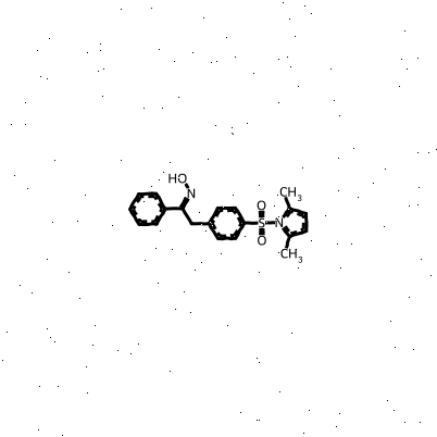 Cc1ccc(C)n1S(=O)(=O)c1ccc(CC(=NO)c2ccccc2)cc1